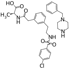 C[C@H](NC(=O)Cc1cccc(CCNS(=O)(=O)c2ccc(Cl)cc2)c1)C(=O)O.c1ccc(CN2CCNCC2)cc1